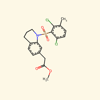 COC(=O)Cc1ccc2c(c1)N(S(=O)(=O)c1c(Cl)ccc(C)c1Cl)CCC2